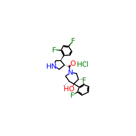 C[C@@H]1CN(C(=O)[C@@H]2CNC[C@H]2c2ccc(F)cc2F)C[C@H](C)[C@]1(O)c1c(F)cccc1F.Cl